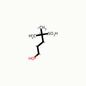 [CH2]C(C)(CCCO)S(=O)(=O)O